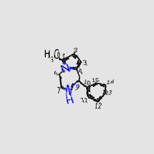 Cc1ccc2n1CCNC2c1ccccc1